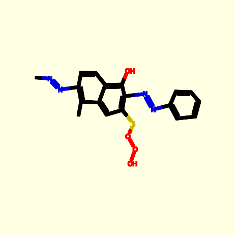 CN=Nc1ccc2c(O)c(N=Nc3ccccc3)c(SOOO)cc2c1C